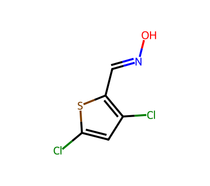 ON=Cc1sc(Cl)cc1Cl